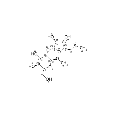 CO[C@H]1OC(CO)[C@@H](O)[C@H](O)C1O[C@H]1O[C@H](CSC)C(O)[C@@H]1O